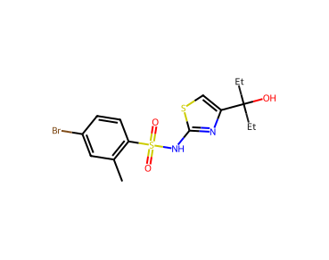 CCC(O)(CC)c1csc(NS(=O)(=O)c2ccc(Br)cc2C)n1